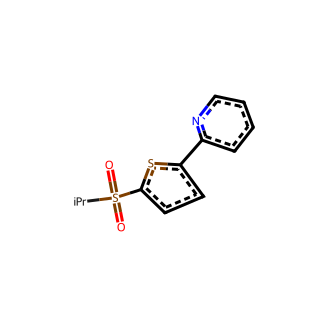 CC(C)S(=O)(=O)c1ccc(-c2ccccn2)s1